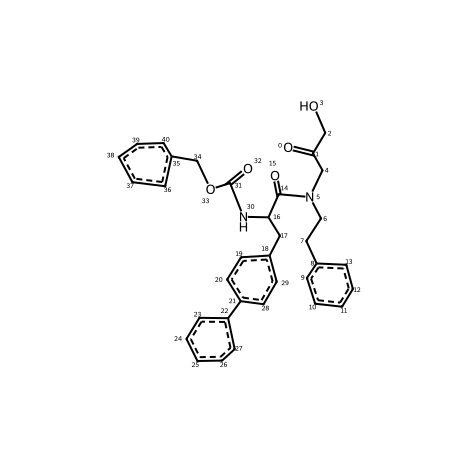 O=C(CO)CN(CCc1ccccc1)C(=O)C(Cc1ccc(-c2ccccc2)cc1)NC(=O)OCc1ccccc1